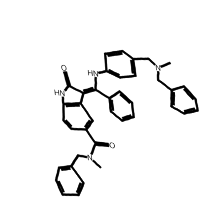 CN(Cc1ccccc1)Cc1ccc(N/C(=C2\C(=O)Nc3ccc(C(=O)N(C)Cc4ccccc4)cc32)c2ccccc2)cc1